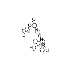 CC(C)c1ccccc1C1CN(Cc2ccccc2Cl)CCN1C1CC2(CCN(c3ccc(C=O)c(Oc4cnc5[nH]ccc5c4)c3)CC2)C1